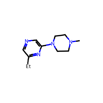 CCc1cncc(N2CCN(C)CC2)n1